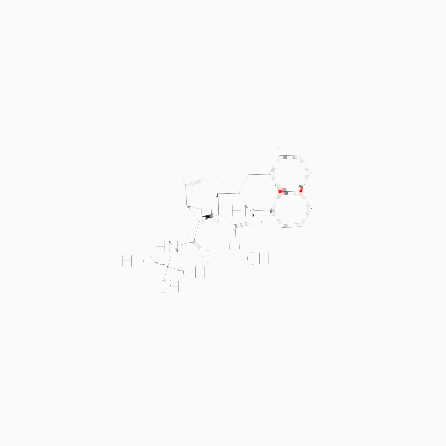 COC(=O)C1=C(C(=O)NC(C)(C)C)C2C=CC1(C(Cc1ccccc1)Nc1ccccc1)O2